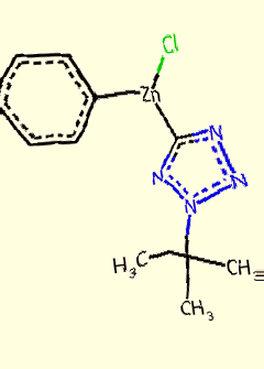 CC(C)(C)n1nn[c]([Zn]([Cl])[c]2ccccc2)n1